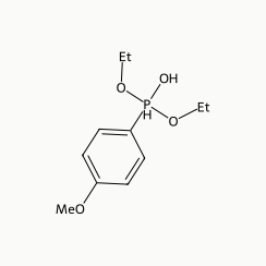 CCO[PH](O)(OCC)c1ccc(OC)cc1